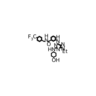 CCn1cnc2c(Nc3cccc(C(=O)NCc4ccc(C(F)(F)F)cc4)c3)nc(N[C@H]3CC[C@H](O)CC3)nc21